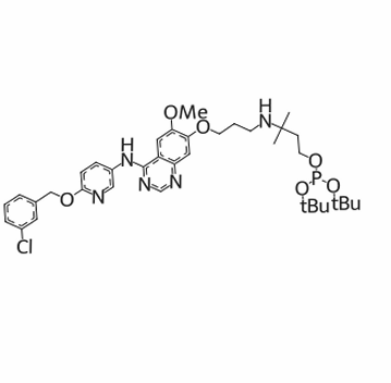 COc1cc2c(Nc3ccc(OCc4cccc(Cl)c4)nc3)ncnc2cc1OCCCNC(C)(C)CCOP(OC(C)(C)C)OC(C)(C)C